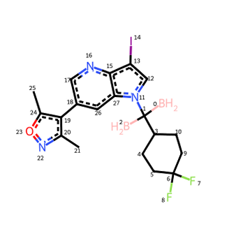 BC(B)(C1CCC(F)(F)CC1)n1cc(I)c2ncc(-c3c(C)noc3C)cc21